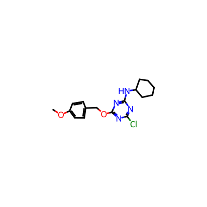 COc1ccc(COc2nc(Cl)nc(NC3CCCCC3)n2)cc1